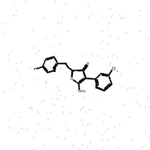 CNC1=C(c2cccc(C(F)(F)F)c2)C(=O)C(Cc2ccc(F)cc2)O1